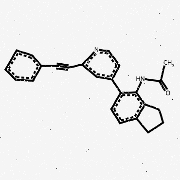 CC(=O)Nc1c(-c2ccnc(C#Cc3ccccc3)c2)ccc2c1CCC2